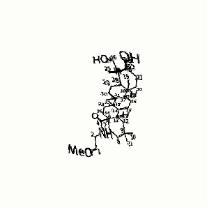 COCCNC(=O)[C@]12CCC(C)(C)C[C@H]1C1=CC[C@@H]3[C@@]4(C)CC[C@H](O)[C@@](C)(CO)C4CC[C@@]3(C)[C@]1(C)CC2